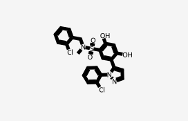 CN(Cc1ccccc1Cl)S(=O)(=O)c1cc(-c2ccnn2-c2ccccc2Cl)c(O)cc1O